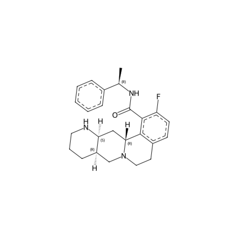 C[C@@H](NC(=O)c1c(F)ccc2c1[C@H]1C[C@@H]3NCCC[C@@H]3CN1CC2)c1ccccc1